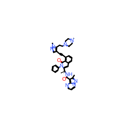 Cc1nn2cccnc2c1C(=O)N[C@@H](C)c1cc2cccc(C#Cc3cnn(C)c3CCN3CCN(C)CC3)c2c(=O)n1-c1ccccc1